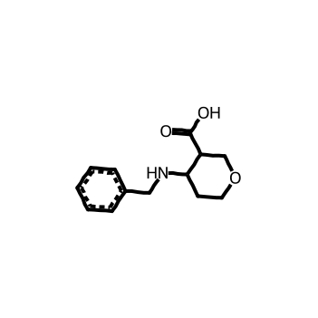 O=C(O)C1COCCC1NCc1ccccc1